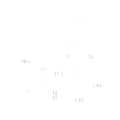 CC(C)(C)OC(=O)NC(C)(C)C(O)c1nc2ccccc2o1